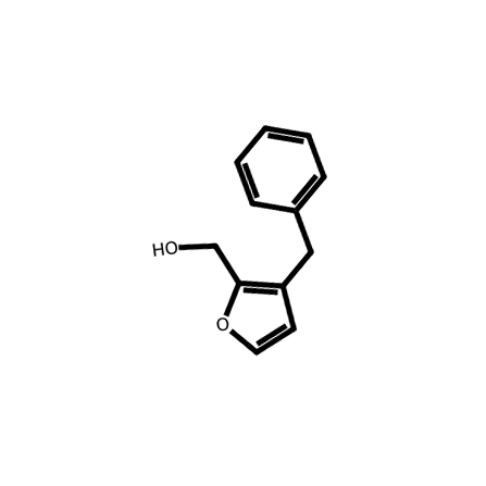 OCc1occc1Cc1ccccc1